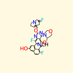 C#Cc1c(F)ccc2cc(O)cc(-c3nc4c5c(nc(OC[C@@]67CCCN6C[C@H](F)C7)nc5c3F)N3CCOCCC3CO4)c12